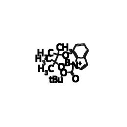 CC(C)(C)OC(=O)[N+]1(B2OC(C)(C)C(C)(C)O2)C=Cc2ccccc21